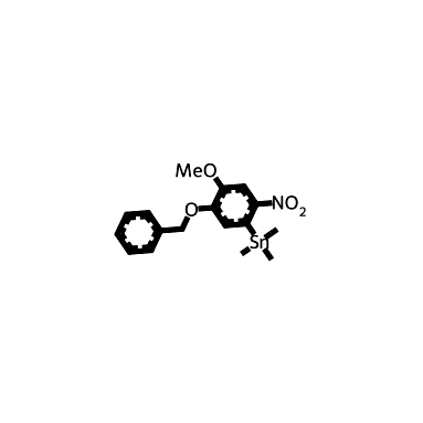 COc1cc([N+](=O)[O-])[c]([Sn]([CH3])([CH3])[CH3])cc1OCc1ccccc1